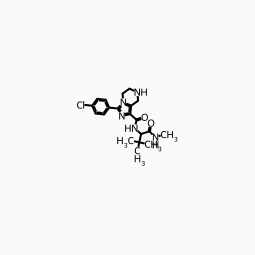 CNC(=O)C(NC(=O)c1nc(-c2ccc(Cl)cc2)n2c1CNCC2)C(C)(C)C